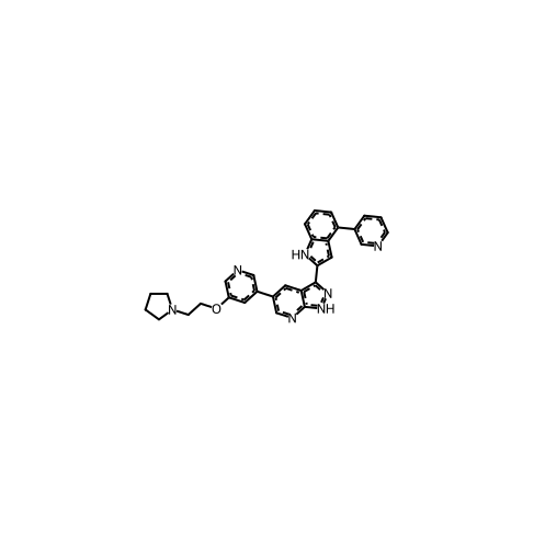 c1cncc(-c2cccc3[nH]c(-c4n[nH]c5ncc(-c6cncc(OCCN7CCCC7)c6)cc45)cc23)c1